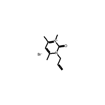 C=CCn1c(C)cc(C)[n+](C)c1=O.[Br-]